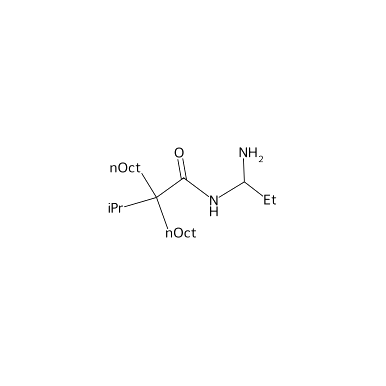 CCCCCCCCC(CCCCCCCC)(C(=O)NC(N)CC)C(C)C